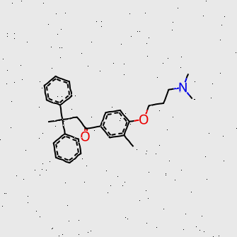 Cc1cc(C(=O)CC(C)(c2ccccc2)c2ccccc2)ccc1OCCCN(C)C